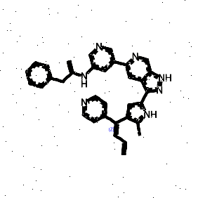 C=C/C=C(/c1ccncc1)c1cc(-c2n[nH]c3cnc(-c4cncc(NC(=C)Cc5ccccc5)c4)cc23)[nH]c1C